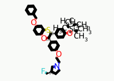 CC(C)[Si](Oc1ccc([C@H]2Sc3cc(OCc4ccccc4)ccc3O[C@H]2c2ccc(OCCN3CC[C@@H](CF)C3)cc2)cc1)(C(C)C)C(C)C